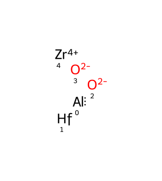 [Al].[Hf].[O-2].[O-2].[Zr+4]